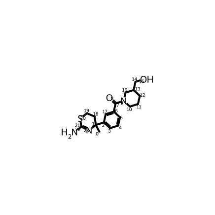 CC1(c2cccc(C(=O)N3CCCC(CO)C3)c2)CCSC(N)=N1